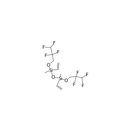 C=C[Si](C)(OCC(F)(F)C(F)F)O[Si](C)(C=C)OCC(F)(F)C(F)F